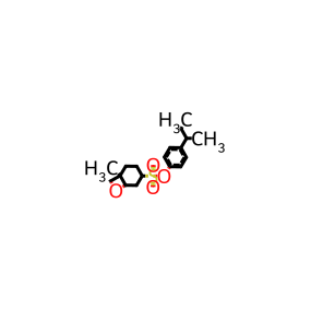 CCC(C)c1ccc(OS(=O)(=O)C2CCC3(C)COC3C2)cc1